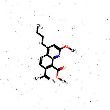 C=C(C)c1ccc2c(CCCC)cc(OC)nc2c1C(=O)OC